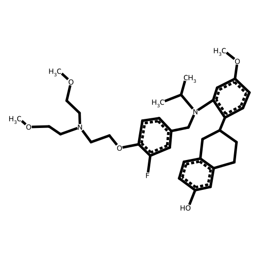 COCCN(CCOC)CCOc1ccc(CN(c2cc(OC)ccc2C2CCc3cc(O)ccc3C2)C(C)C)cc1F